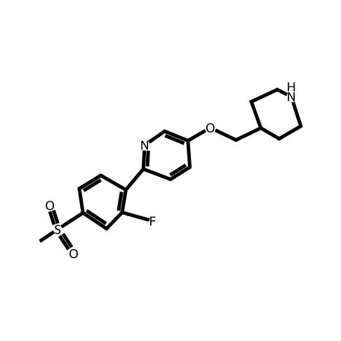 CS(=O)(=O)c1ccc(-c2ccc(OCC3CCNCC3)cn2)c(F)c1